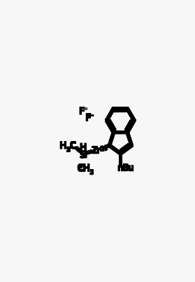 CCCCC1=Cc2ccccc2[CH]1[Zr+2][SiH](C)C.[F-].[F-]